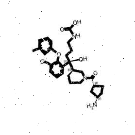 Cc1cccc(Oc2c(Cl)cccc2[C@](O)(CCCNC(=O)O)[C@@H]2CCCN(C(=O)[C@@H]3CC[C@H](N)C3)C2)c1